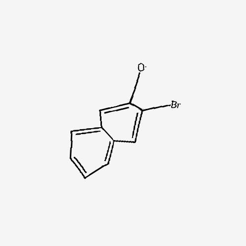 [O]c1cc2ccccc2cc1Br